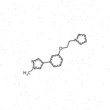 Cn1cc(-c2c[c]cc(OCCn3cccc3)c2)cn1